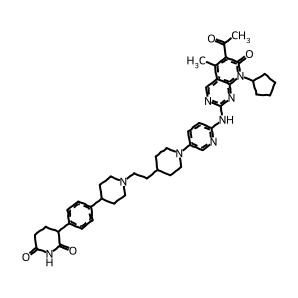 CC(=O)c1c(C)c2cnc(Nc3ccc(N4CCC(CCN5CCC(c6ccc(C7CCC(=O)NC7=O)cc6)CC5)CC4)cn3)nc2n(C2CCCC2)c1=O